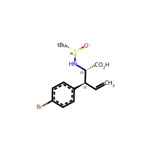 C=C[C@@H](c1ccc(Br)cc1)[C@H](N[S@@+]([O-])C(C)(C)C)C(=O)O